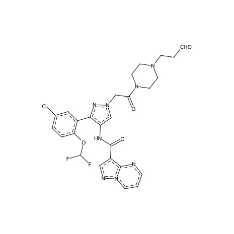 O=CCCN1CCN(C(=O)Cn2cc(NC(=O)c3cnn4cccnc34)c(-c3cc(Cl)ccc3OC(F)F)n2)CC1